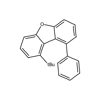 CC(C)(C)c1cccc2oc3cccc(-c4ccccc4)c3c12